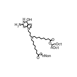 CCCCCCCCCOC(=O)CCCCCCCN(CCCCCCCC(=O)OC(CCCCCCCC)CCCCCCCC)CCCn1cnc2c1N=C(N)NC2O